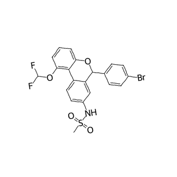 CS(=O)(=O)Nc1ccc2c(c1)C(c1ccc(Br)cc1)Oc1cccc(OC(F)F)c1-2